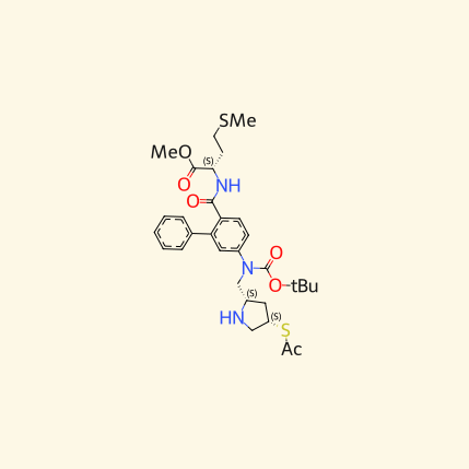 COC(=O)[C@H](CCSC)NC(=O)c1ccc(N(C[C@@H]2C[C@H](SC(C)=O)CN2)C(=O)OC(C)(C)C)cc1-c1ccccc1